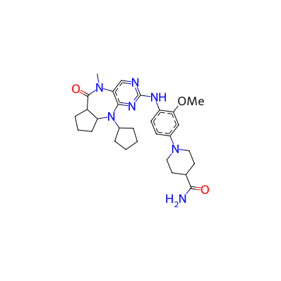 COc1cc(N2CCC(C(N)=O)CC2)ccc1Nc1ncc2c(n1)N(C1CCCC1)C1CCCC1C(=O)N2C